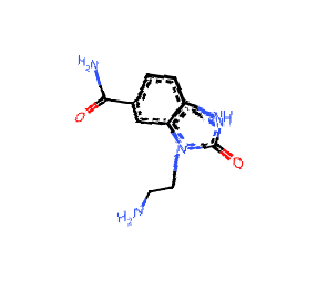 NCCn1c(=O)[nH]c2ccc(C(N)=O)cc21